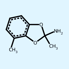 Cc1cccc2c1OC(C)(N)O2